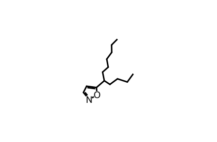 CCCCCCC(CCCC)c1ccno1